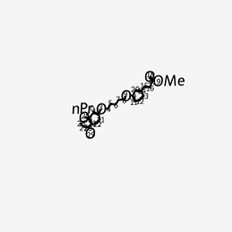 CCCc1c(OCCCCCOc2cccc(CCC(=O)OC)c2)ccc2c1OCCC2=O